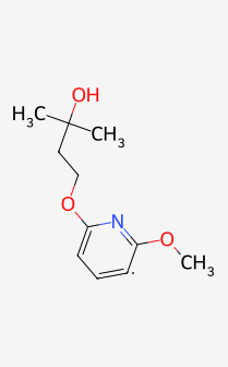 COc1[c]ccc(OCCC(C)(C)O)n1